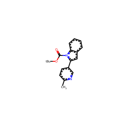 Cc1ccc(-c2cc3ccccc3n2C(=O)OC(C)(C)C)cn1